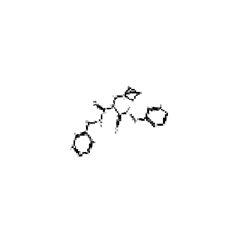 O=C(OCc1ccccc1)C(CC12CC(C1)C2)C(=O)OCc1ccccc1